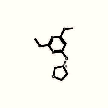 COc1cc(O[C@@H]2CCOC2)nc(OC)n1